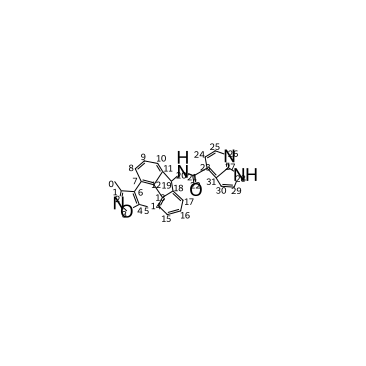 Cc1noc(C)c1-c1cccc2c1-c1ccccc1C2NC(=O)c1ccnc2[nH]ccc12